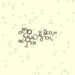 CC(NC(=O)O)C(=O)NC1CCN(c2nc(SC(C(N)=O)c3ccccc3)c(C#N)c(C3CC3)c2C#N)CC1